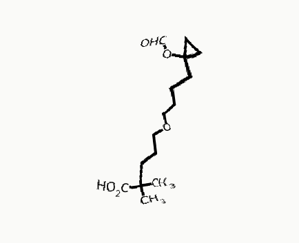 CC(C)(CCCOCCCCC1(OC=O)CC1)C(=O)O